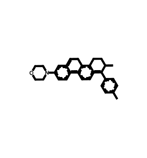 Cc1ccc(C2=c3ccc4c(c3CCC2C)CC=c2cc(N3CCOCC3)ccc2=4)cc1